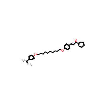 C=C(C)c1ccc(OCCCCCCCCCCOc2ccc(/C=C/C(=O)c3ccccc3)cc2)cc1